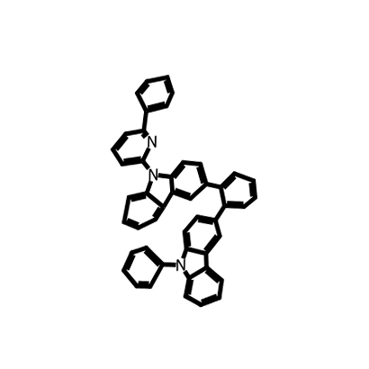 c1ccc(-c2cccc(-n3c4ccccc4c4cc(-c5ccccc5-c5ccc6c(c5)c5ccccc5n6-c5ccccc5)ccc43)n2)cc1